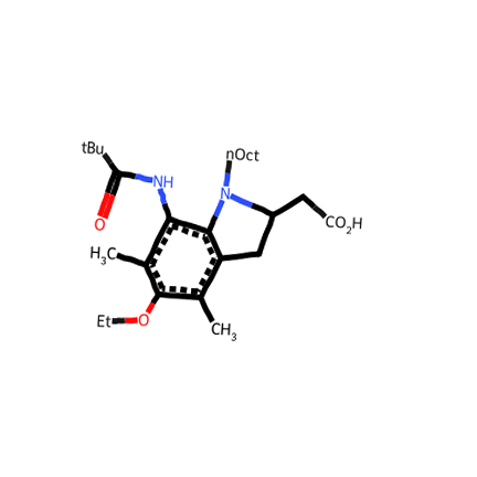 CCCCCCCCN1c2c(c(C)c(OCC)c(C)c2NC(=O)C(C)(C)C)CC1CC(=O)O